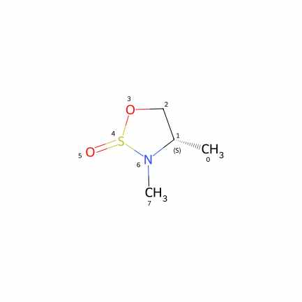 C[C@H]1COS(=O)N1C